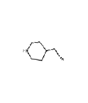 CC(=O)CC1CCNCC1